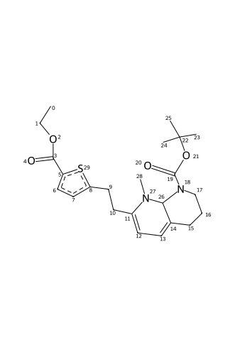 CCOC(=O)c1ccc(CCC2=CC=C3CCCN(C(=O)OC(C)(C)C)C3N2C)s1